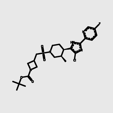 C[C@H]1CN(S(=O)(=O)CC2CN(C(=O)OC(C)(C)C)C2)CC[C@H]1c1[nH]c(-c2ccc(F)cn2)nc1Cl